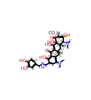 CN(C)c1cc(CNCc2ccc(O)c(O)c2)c(O)c2c1C[C@H]1C[C@H]3[C@H](N(C)C)C(O)=C(C(=O)O)C(=O)[C@@]3(O)C(O)=C1C2=O